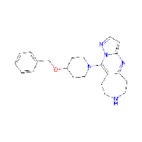 c1ccc(COC2CCN(c3c4c(nc5ccnn35)CCNCC4)CC2)cc1